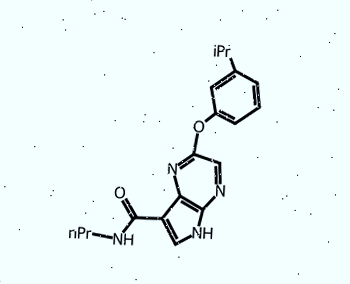 CCCNC(=O)c1c[nH]c2ncc(Oc3cccc(C(C)C)c3)nc12